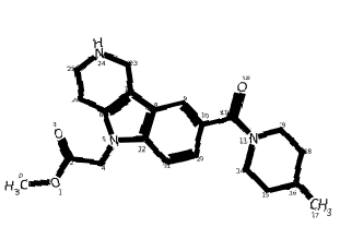 COC(=O)Cn1c2c(c3cc(C(=O)N4CCC(C)CC4)ccc31)CNCC2